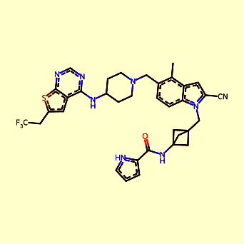 Cc1c(CN2CCC(Nc3ncnc4sc(CC(F)(F)F)cc34)CC2)ccc2c1cc(C#N)n2CC12CC(NC(=O)c3ccc[nH]3)(C1)C2